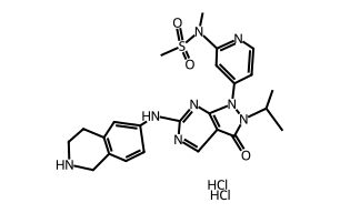 CC(C)n1c(=O)c2cnc(Nc3ccc4c(c3)CCNC4)nc2n1-c1ccnc(N(C)S(C)(=O)=O)c1.Cl.Cl